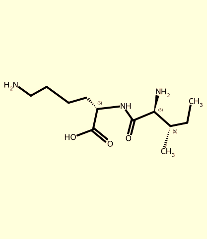 CC[C@H](C)[C@H](N)C(=O)N[C@@H](CCCCN)C(=O)O